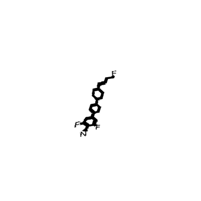 N#Cc1c(F)cc(-c2ccc(C3CCC(C=CCCF)CC3)cc2)cc1F